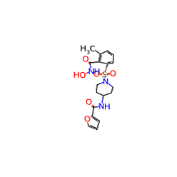 Cc1cccc(S(=O)(=O)N2CCC(NC(=O)c3ccco3)CC2)c1C(=O)NO